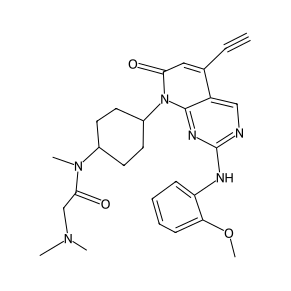 C#Cc1cc(=O)n(C2CCC(N(C)C(=O)CN(C)C)CC2)c2nc(Nc3ccccc3OC)ncc12